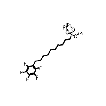 CC(C)O[Si](CCCCCCCCCCc1c(F)c(F)c(F)c(F)c1F)(OC(C)C)OC(C)C